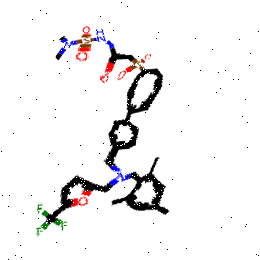 Cc1cc(C)c(CN(Cc2ccc(-c3cccc(S(=O)(=O)CC(=O)NS(=O)(=O)N(C)C)c3)cc2)Cc2ccc(C(F)(F)F)o2)c(C)c1